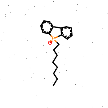 CCCCCCCCP1(=O)c2ccccc2-c2ccccc21